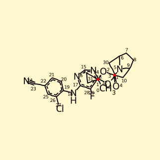 CC1(OC(=O)N2C3CCC2CC(Oc2ncnc(Nc4ccc(C#N)cc4Cl)c2F)C3)CC1